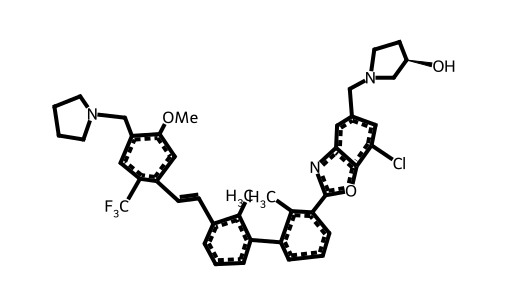 COc1cc(/C=C/c2cccc(-c3cccc(-c4nc5cc(CN6CC[C@@H](O)C6)cc(Cl)c5o4)c3C)c2C)c(C(F)(F)F)cc1CN1CCCC1